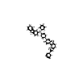 c1ccc(-c2nc3ccc4oc5cc(-c6ccc(N(c7ccccc7)c7ccc8sc9ccccc9c8c7)cc6)ccc5c4c3o2)cc1